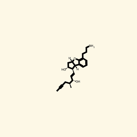 CC#CC[C@H](C)[C@@H](O)/C=C/[C@@H]1[C@H]2c3cccc(CCCN)c3O[C@H]2C[C@H]1O